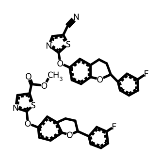 COC(=O)c1cnc(Oc2ccc3c(c2)CCC(c2cccc(F)c2)O3)s1.N#Cc1cnc(Oc2ccc3c(c2)CCC(c2cccc(F)c2)O3)s1